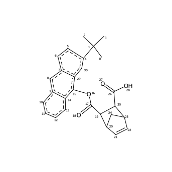 CC(C)(C)c1ccc2cc3ccccc3c(OC(=O)C3C4C=CC(C4)C3C(=O)O)c2c1